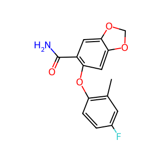 Cc1cc(F)ccc1Oc1cc2c(cc1C(N)=O)OCO2